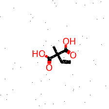 C=CC(C)(C(=O)O)C(=O)O